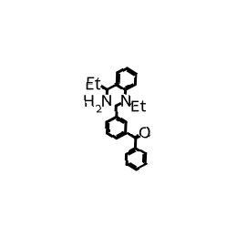 CCC(N)c1ccccc1N(CC)Cc1cccc(C(=O)c2ccccc2)c1